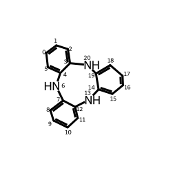 c1ccc2c(c1)Nc1ccccc1Nc1ccccc1N2